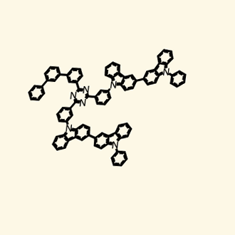 c1ccc(-c2cccc(-c3cccc(-c4nc(-c5cccc(-n6c7ccccc7c7cc(-c8ccc9c(c8)c8ccccc8n9-c8ccccc8)ccc76)c5)nc(-c5cccc(-n6c7ccccc7c7cc(-c8ccc9c(c8)c8ccccc8n9-c8ccccc8)ccc76)c5)n4)c3)c2)cc1